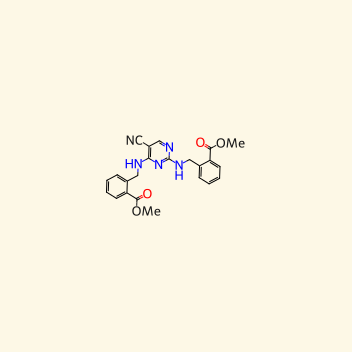 COC(=O)c1ccccc1CNc1ncc(C#N)c(NCc2ccccc2C(=O)OC)n1